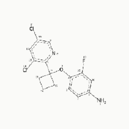 Nc1ccc(OC2(c3ncc(Cl)cc3Cl)CCC2)c(F)c1